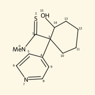 CNC(=S)C1(c2ccncc2)CCCCC1O